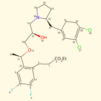 CCOC(=O)CCc1cc(F)c(F)cc1[C@@H](C)OC[C@H](O)CN1CCC[C@H]1CC1=CC(Cl)=C(Cl)CC1